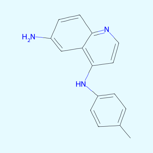 Cc1ccc(Nc2ccnc3ccc(N)cc23)cc1